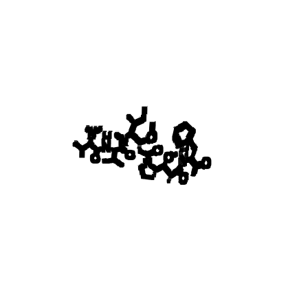 CC[C@H](C)[C@@H]([C@@H](CC(=O)N1CCC[C@H]1[C@H](OC)[C@@H](C)C(=O)N[C@@H](Cc1ccccc1)C(C)=O)OC)N(C)C(=O)[C@@H](NC(=O)C(C(C)C)N(C)C)C(C)C